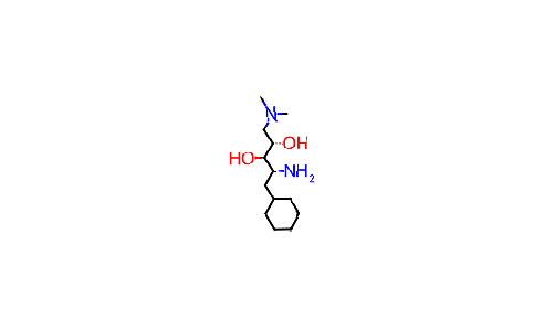 CN(C)C[C@H](O)[C@H](O)[C@@H](N)CC1CCCCC1